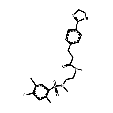 Cc1cc(S(=O)(=O)N(C)CCN(C)C(=O)CCc2ccc(C3=NCCN3)cc2)c(C)cc1Cl